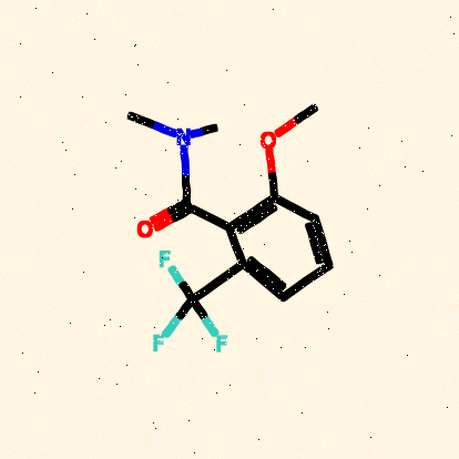 COc1cccc(C(F)(F)F)c1C(=O)N(C)C